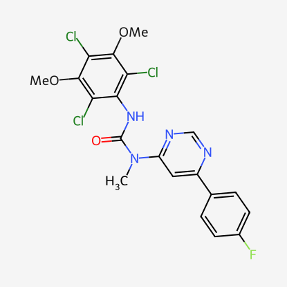 COc1c(Cl)c(NC(=O)N(C)c2cc(-c3ccc(F)cc3)ncn2)c(Cl)c(OC)c1Cl